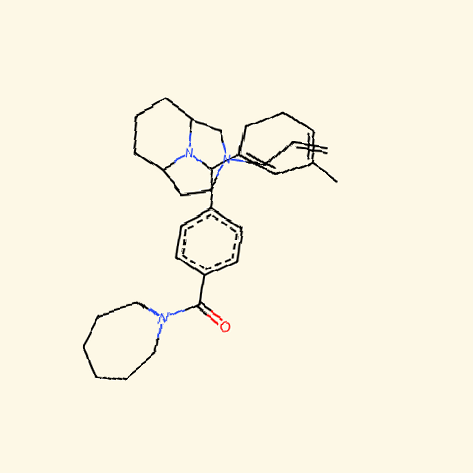 C=CCN1CCC2CCCC(C1)N2C(C1=CC(C)=CCC1)c1ccc(C(=O)N2CCCCCC2)cc1